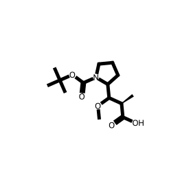 COC(C1CCCN1C(=O)OC(C)(C)C)[C@@H](C)C(=O)O